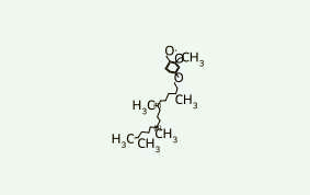 COc1cc(OCCC(C)CCC[C@H](C)CCC[C@H](C)CCCC(C)C)ccc1C[O]